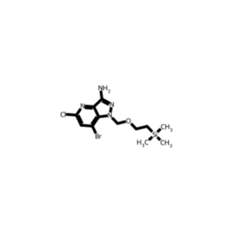 C[Si](C)(C)CCOCn1nc(N)c2nc(Cl)cc(Br)c21